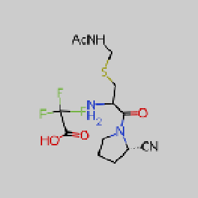 CC(=O)NCSC[C@H](N)C(=O)N1CCC[C@H]1C#N.O=C(O)C(F)(F)F